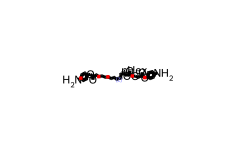 CCCCCC[C@H](C/C=C\CCCCCCCC(=O)Oc1ccc(N)cc1)OC(=O)COCC(=O)Oc1ccc(N)cc1